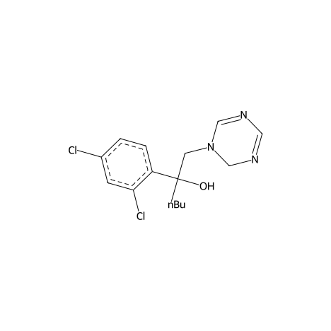 CCCCC(O)(CN1C=NC=NC1)c1ccc(Cl)cc1Cl